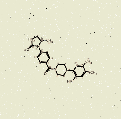 Cc1cc(C)c(N2CCN(C(=O)c3ccc(N4C(=O)NCC4C)cc3)CC2)nc1C